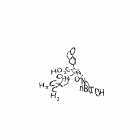 CCCCN(CCCO)C(=O)CN1C[C@H](c2ccc3c(c2)CCO3)[C@@H](C(=O)O)[C@@H]1CCN1CCC(C)(C)C1=O